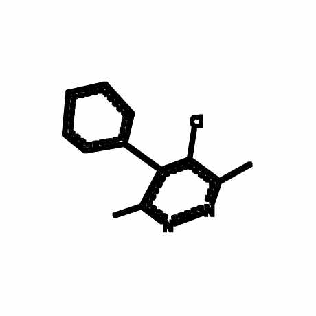 Cc1nnc(C)c(-c2ccccc2)c1Cl